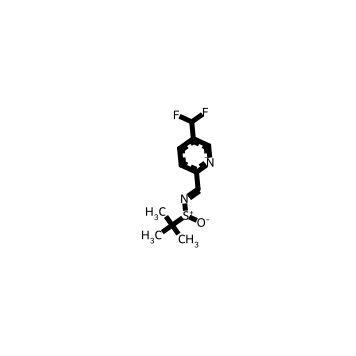 CC(C)(C)[S+]([O-])/N=C/c1ccc(C(F)F)cn1